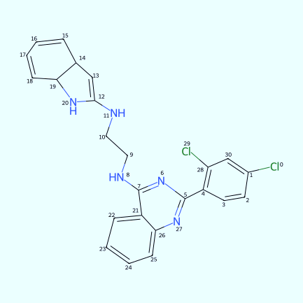 Clc1ccc(-c2nc(NCCNC3=CC4C=CC=CC4N3)c3ccccc3n2)c(Cl)c1